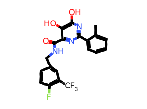 Cc1ccccc1-c1nc(O)c(O)c(C(=O)NCc2ccc(F)c(C(F)(F)F)c2)n1